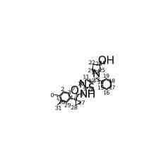 Cc1ccc(C2(C(=O)Nc3ncc([C@@H](c4ccccc4)N4CC[C@@H](O)C4)s3)CC2)cc1C